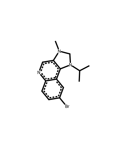 CC(C)N1CN(C)c2cnc3ccc(Br)cc3c21